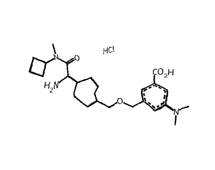 CN(C)c1cc(COCC2CCC(C(N)C(=O)N(C)C3CCC3)CC2)cc(C(=O)O)c1.Cl